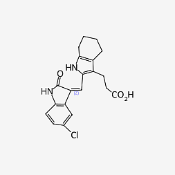 O=C(O)CCc1c(/C=C2\C(=O)Nc3ccc(Cl)cc32)[nH]c2c1CCCC2